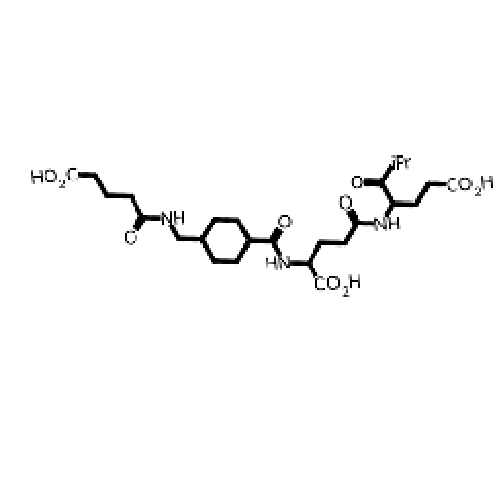 CC(C)C(=O)C(CCC(=O)O)NC(=O)CCC(NC(=O)C1CCC(CNC(=O)CCCC(=O)O)CC1)C(=O)O